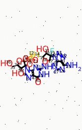 Nc1nc2c(ncn2C2(OP(=O)(S)OC[C@H]3OC[C@@](F)(n4nnc5c(N)ncnc54)[C@@H]3O)CO[C@H](CO)[C@H]2O)c(=O)[nH]1